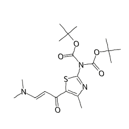 Cc1nc(N(C(=O)OC(C)(C)C)C(=O)OC(C)(C)C)sc1C(=O)C=CN(C)C